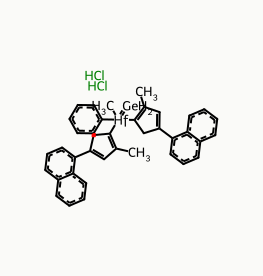 CC1=[C]([Hf]([CH3])(=[GeH2])([C]2=C(C)C=C(c3cccc4ccccc34)C2)[c]2ccccc2)CC(c2cccc3ccccc23)=C1.Cl.Cl